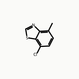 Cc1ccc(Cl)c2scnc12